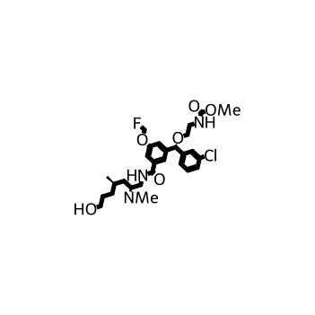 CN[C@H](CNC(=O)c1cc(OCF)cc([C@H](OCCNC(=O)OC)c2cccc(Cl)c2)c1)C[C@H](C)CCCO